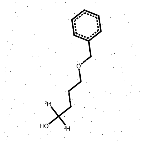 [2H]C([2H])(O)CCCOCc1ccccc1